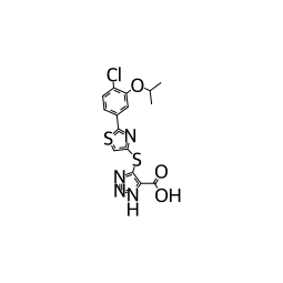 CC(C)Oc1cc(-c2nc(Sc3nn[nH]c3C(=O)O)cs2)ccc1Cl